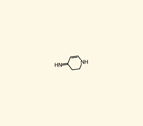 N=C1C=CNCC1